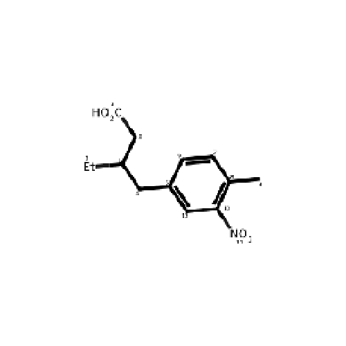 CCC(CC(=O)O)Cc1ccc(C)c([N+](=O)[O-])c1